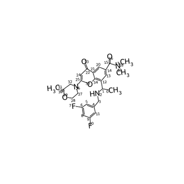 CC(NCc1cc(F)cc(F)c1)c1cc(C(=O)N(C)C)cc2c(=O)cc(N3CCO[C@H](C)C3)oc12